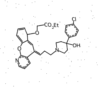 CCOC(=O)COC1C=CC=C2Oc3ncccc3C(=CCCN3CCC(O)(c4ccc(Cl)cc4)CC3)C=C21